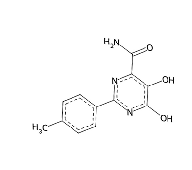 Cc1ccc(-c2nc(O)c(O)c(C(N)=O)n2)cc1